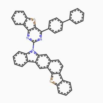 c1ccc(-c2ccc(-c3nc(-n4c5ccccc5c5cc6c(ccc7c8ccccc8sc67)cc54)nc4c3sc3ccccc34)cc2)cc1